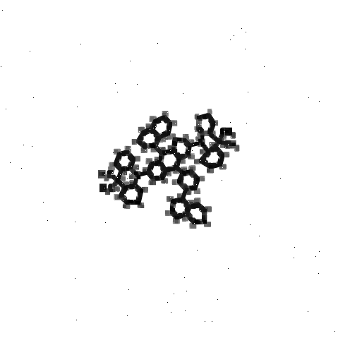 CC1(C)c2ccccc2N(c2ccc3c(-c4cccc5ccccc45)c4cc(N5c6ccccc6C(C)(C)c6ccccc65)ccc4c(-c4cccc(-c5cccc6ccccc56)c4)c3c2)c2ccccc21